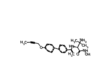 C=C(N[C@H](C(=O)NO)C(C)(C)N)c1ccc(-c2ccc(OCC#CC)cc2)cc1